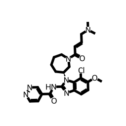 COc1ccc2nc(NC(=O)c3ccnnc3)n([C@@H]3CCCCN(C(=O)C=CCN(C)C)C3)c2c1Cl